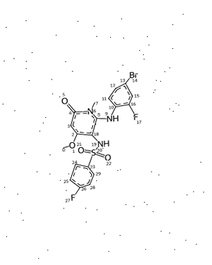 COc1cc(=O)n(C)c(Nc2ccc(Br)cc2F)c1NS(=O)(=O)c1ccc(F)cc1